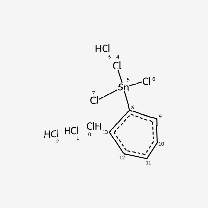 Cl.Cl.Cl.Cl.[Cl][Sn]([Cl])([Cl])[c]1ccccc1